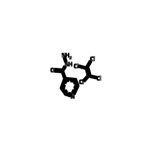 ClC(Cl)=C(Cl)Cl.NNC(=O)c1ccncc1